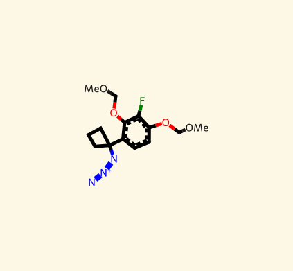 COCOc1ccc(C2(N=[N+]=[N-])CCC2)c(OCOC)c1F